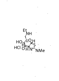 CCNC[C@H]1O[C@@H]2SC(NC)=N[C@@H]2[C@@H](O)[C@@H]1O.Cl